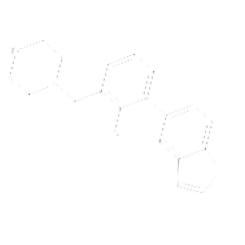 Oc1c(CN2CCNCC2)cccc1-c1ccc2occc2c1